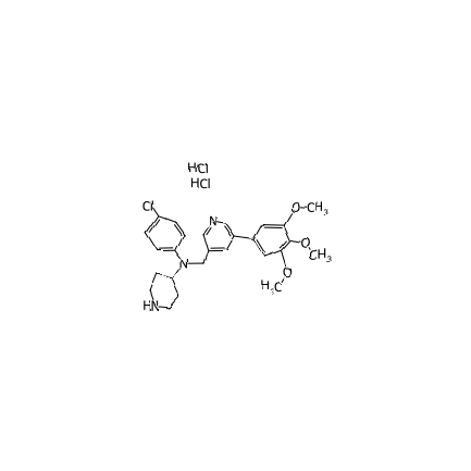 COc1cc(-c2cncc(CN(c3ccc(Cl)cc3)C3CCNCC3)c2)cc(OC)c1OC.Cl.Cl